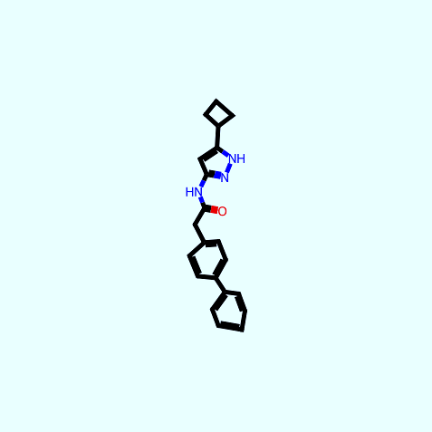 O=C(Cc1ccc(-c2ccccc2)cc1)Nc1cc(C2CCC2)[nH]n1